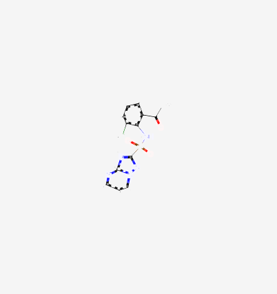 COC(=O)c1cccc(Cl)c1NS(=O)(=O)c1nc2ncccn2n1